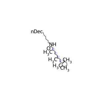 CCCCCCCCCCCCCCCCNC(=O)/C=C(C)/C=C/C=C(C)/C=C/C1=C(C)CCCC1(C)C